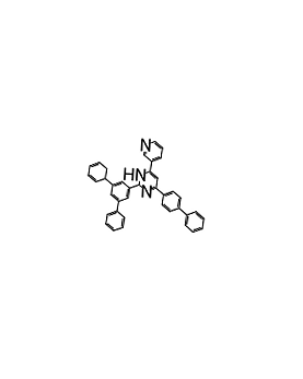 C1=CCC(c2cc(-c3ccccc3)cc(C3N=C(c4ccc(-c5ccccc5)cc4)C=C(c4cccnc4)N3)c2)C=C1